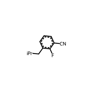 CC(C)Cc1cccc(C#N)c1F